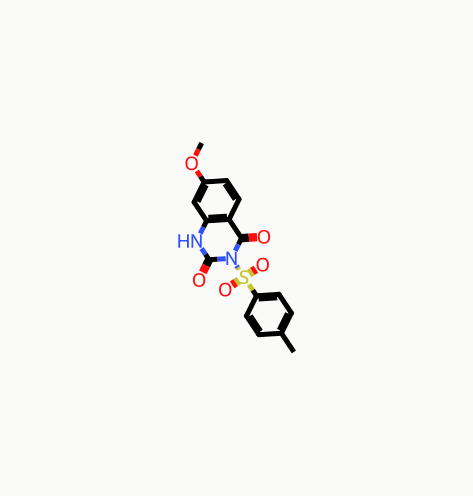 COc1ccc2c(=O)n(S(=O)(=O)c3ccc(C)cc3)c(=O)[nH]c2c1